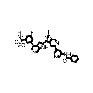 CS(=O)(=O)C(N)c1cc(F)cc(-c2cncc3[nH]c(-c4n[nH]c5cnc(-c6cncc(NC(=O)c7ccccc7)c6)cc45)cc23)c1